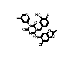 Cc1cncc(-n2c(=O)nc(Nc3cc4oc(C)nc4cc3Cl)n(Cc3ccc(F)c(C#N)c3)c2=O)c1